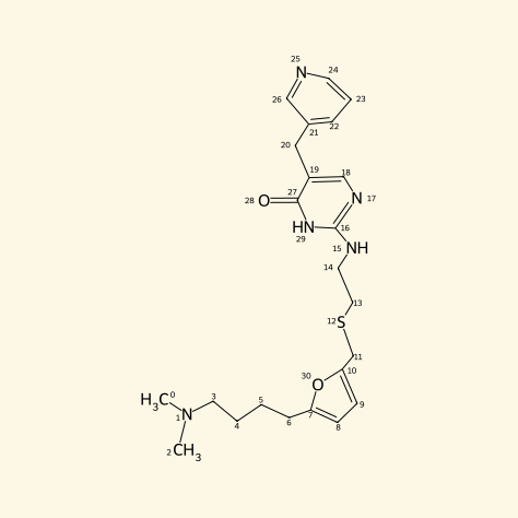 CN(C)CCCCc1ccc(CSCCNc2ncc(Cc3cccnc3)c(=O)[nH]2)o1